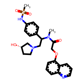 CN(C(=O)COc1cccc2ncccc12)C(CN1CC[C@H](O)C1)c1ccc(NS(C)(=O)=O)cc1